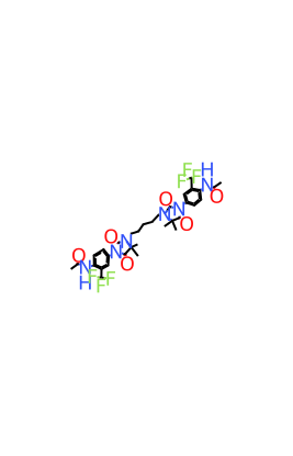 CC(=O)Nc1ccc(N2C(=O)N(CCCCCN3C(=O)N(c4ccc(NC(C)=O)c(C(F)(F)F)c4)C(=O)C3(C)C)C(C)(C)C2=O)cc1C(F)(F)F